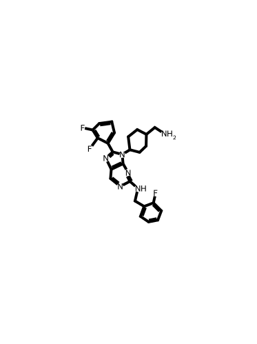 NCC1CCC(n2c(-c3cccc(F)c3F)nc3cnc(NCc4ccccc4F)nc32)CC1